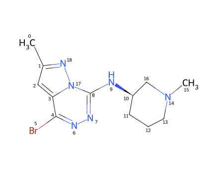 Cc1cc2c(Br)nnc(N[C@@H]3CCCN(C)C3)n2n1